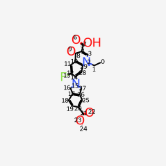 CCn1cc(C(=O)O)c(=O)c2cc(F)c(N3Cc4ccc(C(=O)OC)cc4C3)cc21